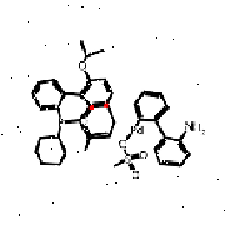 CC(C)Oc1cccc(OC(C)C)c1-c1ccccc1P(C1CCCCC1)C1CCCCC1.CS(=O)(=O)[O][Pd][c]1ccccc1-c1ccccc1N